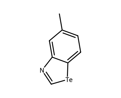 Cc1ccc2[te]cnc2c1